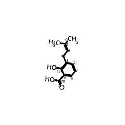 CC(C)=CCc1cccc(C(=O)O)c1O